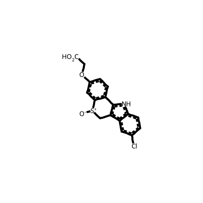 O=C(O)COc1ccc2c(c1)[S+]([O-])Cc1c-2[nH]c2ccc(Cl)cc12